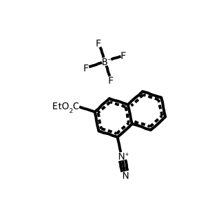 CCOC(=O)c1cc([N+]#N)c2ccccc2c1.F[B-](F)(F)F